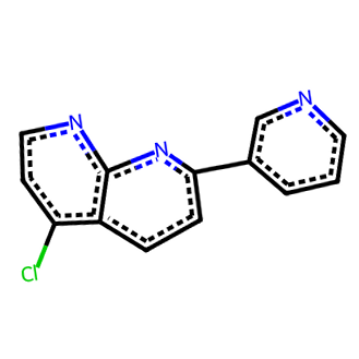 Clc1ccnc2nc(-c3cccnc3)ccc12